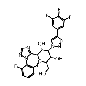 OC[C@H]1O[C@@H](c2ncnn2-c2c(F)cccc2F)[C@H](O)[C@@H](n2cc(-c3cc(F)c(F)c(F)c3)nn2)[C@H]1O